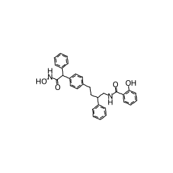 O=C(NCC(CCc1ccc(C(C(=O)NO)c2ccccc2)cc1)c1ccccc1)c1ccccc1O